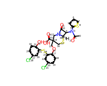 CC(=O)N(c1cccs1)C1C(=O)N2CC(COc3ccc(Cl)cc3Sc3cc(Cl)ccc3O)(C(=O)O)CS[C@H]12